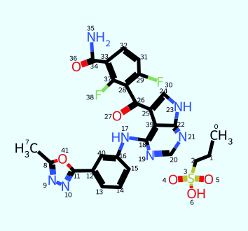 CCCS(=O)(=O)O.Cc1nnc(-c2cccc(Nc3ncnc4[nH]cc(C(=O)c5c(F)ccc(C(N)=O)c5F)c34)c2)o1